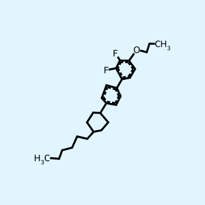 CCCCCCC1CCC(c2ccc(-c3ccc(OCCC)c(F)c3F)cc2)CC1